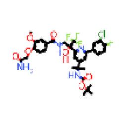 COc1cc(C(=O)NCC(O)(c2cc(C(C)(C)NC(=O)OC(C)(C)C)cc(-c3ccc(F)c(Cl)c3)n2)C(F)(F)F)ccc1OCC(N)=O